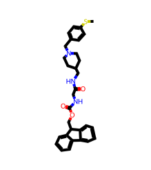 CSc1ccc(CN2CCC(CNC(=O)CNC(=O)OCC3c4ccccc4-c4ccccc43)CC2)cc1